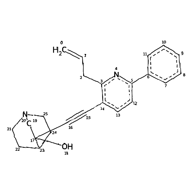 C=CCc1nc(-c2ccccc2)ccc1C#CC1(O)CN2CCC1CC2